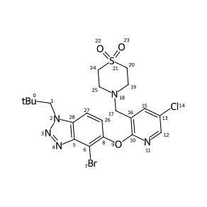 CC(C)(C)Cn1nnc2c(Br)c(Oc3ncc(Cl)cc3CN3CCS(=O)(=O)CC3)ccc21